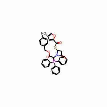 O=C(OCc1ccc([N+](=O)[O-])cc1)C(N1C(=O)C[C@@H]1SC(=O)c1ccco1)=P(c1ccccc1)(c1ccccc1)c1ccccc1